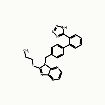 CCCSc1nc2cccnc2n1Cc1ccc(-c2ccccc2-c2nnn[nH]2)cc1